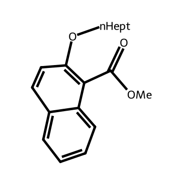 CCCCCCCOc1ccc2ccccc2c1C(=O)OC